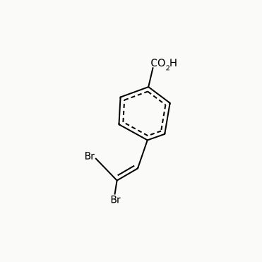 O=C(O)c1ccc(C=C(Br)Br)cc1